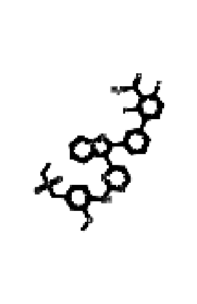 CCS(=O)(=O)Cc1ccc(Nc2nccc(-c3c(-c4cccc(-c5ccc(F)c(C(N)=O)c5F)c4)nn4ccccc34)n2)c(OC)c1